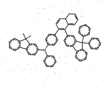 CC1(C)c2ccccc2-c2ccc(N(c3ccccc3)c3ccc(C4=C(c5ccc6c(c5)C(c5ccccc5)(c5ccccc5)c5ccccc5-6)C5=CC=CCC5C=C4)cc3)cc21